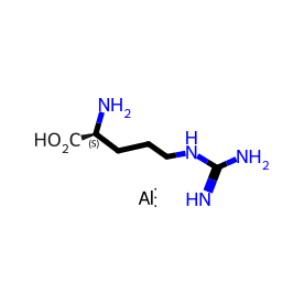 N=C(N)NCCC[C@H](N)C(=O)O.[Al]